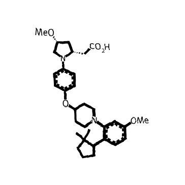 COc1ccc(C2CCCC2(C)C)c(N2CCC(Oc3ccc(N4C[C@H](OC)C[C@@H]4CC(=O)O)cc3)CC2)c1